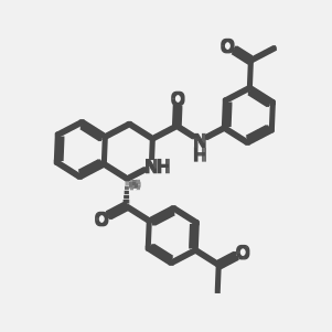 CC(=O)c1ccc(C(=O)[C@H]2NC(C(=O)Nc3cccc(C(C)=O)c3)Cc3ccccc32)cc1